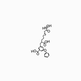 O=C(CSCCCC(Cc1cc(Oc2ccccc2)cc(C(=O)O)c1)C(=O)O)NO